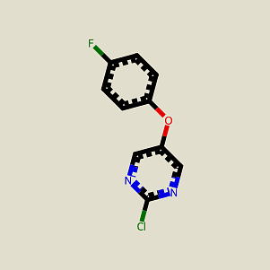 Fc1ccc(Oc2cnc(Cl)nc2)cc1